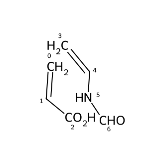 C=CC(=O)O.C=CNC=O